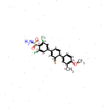 Cc1cc(C2C=CC(c3cc(F)c(S(N)(=O)=O)c(F)c3)=CC2=S)ccc1OC(F)(F)F